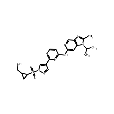 Cc1nc2cnc(Nc3ccnc(-c4cnn(S(=O)(=O)C5CC5CO)c4)n3)cc2n1C(C)C